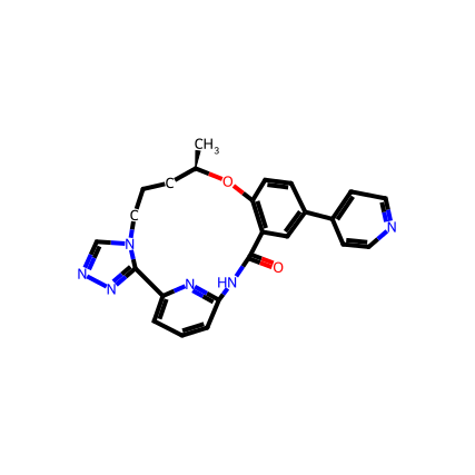 C[C@@H]1CCCn2cnnc2-c2cccc(n2)NC(=O)c2cc(-c3ccncc3)ccc2O1